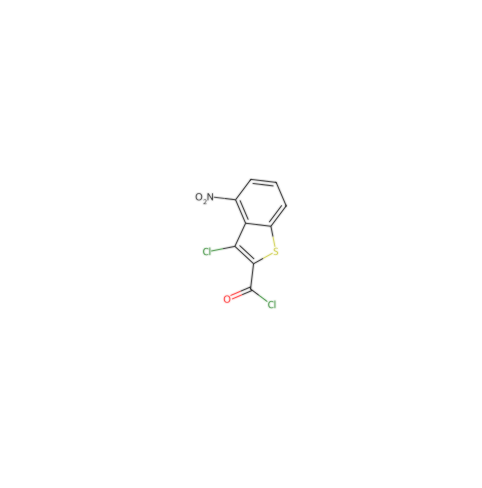 O=C(Cl)c1sc2cccc([N+](=O)[O-])c2c1Cl